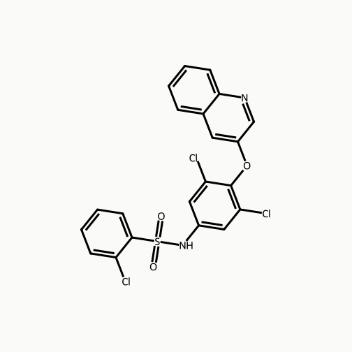 O=S(=O)(Nc1cc(Cl)c(Oc2cnc3ccccc3c2)c(Cl)c1)c1ccccc1Cl